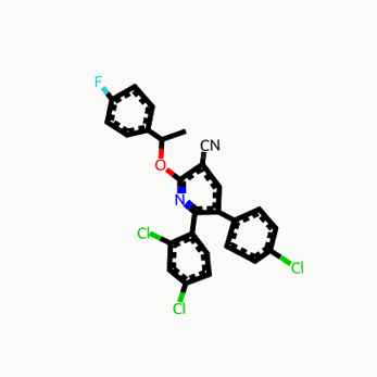 CC(Oc1nc(-c2ccc(Cl)cc2Cl)c(-c2ccc(Cl)cc2)cc1C#N)c1ccc(F)cc1